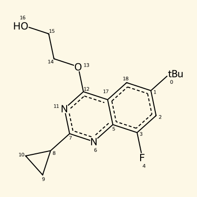 CC(C)(C)c1cc(F)c2nc(C3CC3)nc(OCCO)c2c1